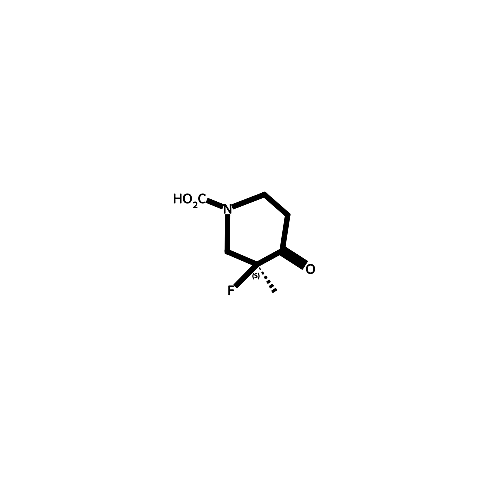 C[C@]1(F)CN(C(=O)O)CCC1=O